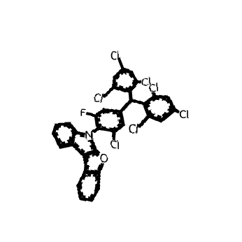 Fc1cc(C(c2c(Cl)cc(Cl)cc2Cl)c2c(Cl)cc(Cl)cc2Cl)cc(Cl)c1-n1c2ccccc2c2c3ccccc3oc21